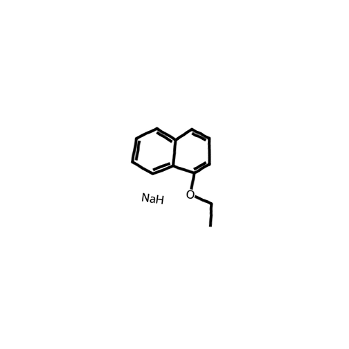 CCOc1cccc2ccccc12.[NaH]